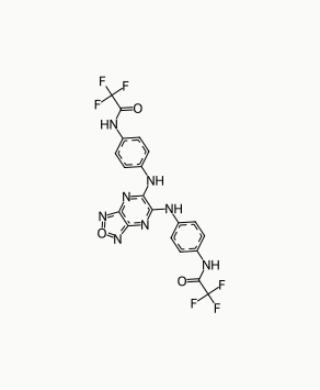 O=C(Nc1ccc(Nc2nc3nonc3nc2Nc2ccc(NC(=O)C(F)(F)F)cc2)cc1)C(F)(F)F